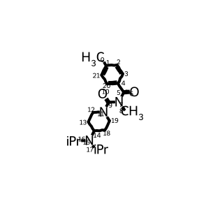 Cc1ccc(C(=O)N(C)C(=O)N2CCC(N(C(C)C)C(C)C)CC2)cc1